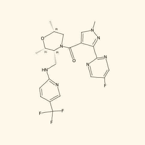 C[C@@H]1CN(C(=O)c2cn(C)nc2-c2ncc(F)cn2)[C@H](CNc2ccc(C(F)(F)F)cn2)[C@H](C)O1